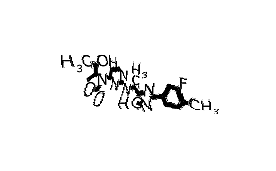 Cc1ccc(-c2noc([C@H](C)Nc3nccc(N4C(=O)OCC4[C@@H](C)O)n3)n2)cc1F